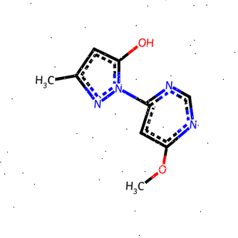 COc1cc(-n2nc(C)cc2O)ncn1